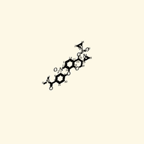 CN(C)C(=O)c1ccc(Oc2c([N+](=O)[O-])ccc3c2OCC[C@@H]3OP(=O)(N2CC2)N2CC2)cc1